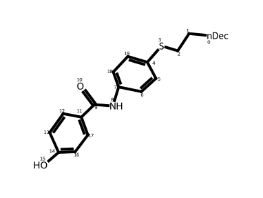 CCCCCCCCCCCCSc1ccc(NC(=O)c2ccc(O)cc2)cc1